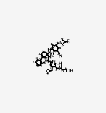 COCc1cc(C(=O)NC2(c3nc4cc(CN5CC(F)C5)cc(C#N)c4o3)C=CC=C(c3ccccc3C)C2Cl)ncc1CNCCO